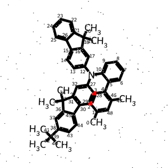 Cc1ccc(-c2ccccc2N(c2ccc3c(c2)C(C)(C)c2ccccc2-3)c2ccc3c(c2)C(C)(C)c2cc(C(C)(C)C)ccc2-3)c(C)c1